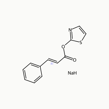 O=C(/C=C/c1ccccc1)Oc1nccs1.[NaH]